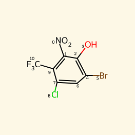 O=[N+]([O-])c1c(O)c(Br)cc(Cl)c1C(F)(F)F